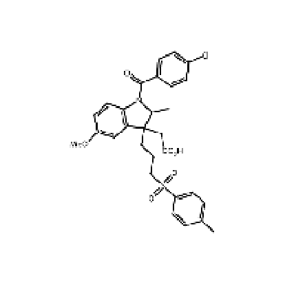 COc1ccc2c(c1)C(CCCS(=O)(=O)c1ccc(C)cc1)(CC(=O)O)C(C)N2C(=O)c1ccc(Cl)cc1